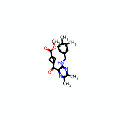 COC(=O)C12CC(C(=O)c3nc(C)c(C)nc3NCc3ccc(C)c(C)c3)(C1)C2